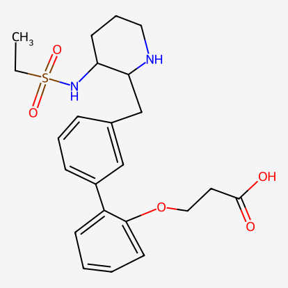 CCS(=O)(=O)NC1CCCNC1Cc1cccc(-c2ccccc2OCCC(=O)O)c1